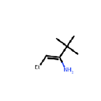 CC/C=C(\N)C(C)(C)C